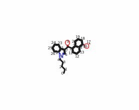 CCCCCn1cc(C(=O)c2cccc3c(OC)cccc23)c2ccccc21